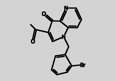 CC(=O)c1cn(Cc2ccccc2Br)c2cccnc2c1=O